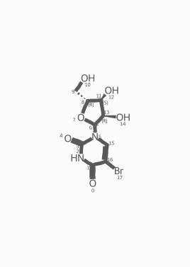 O=c1[nH]c(=O)n([C]2O[C@H](CO)[C@@H](O)[C@H]2O)cc1Br